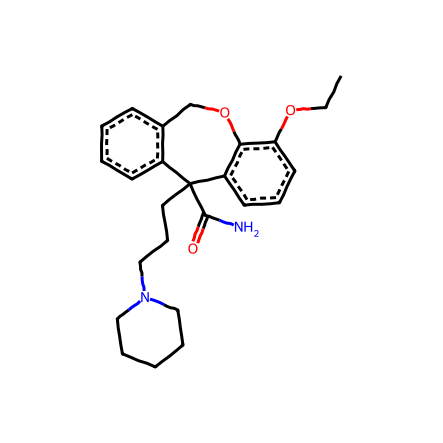 CCOc1cccc2c1OCc1ccccc1C2(CCCN1CCCCC1)C(N)=O